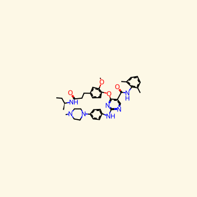 CC[C@H](C)NC(=O)CCc1ccc(Oc2nc(Nc3ccc(N4CCN(C)CC4)cc3)ncc2C(=O)Nc2c(C)cccc2C)c(OC)c1